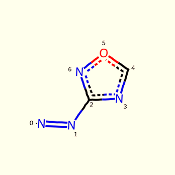 [N]=Nc1ncon1